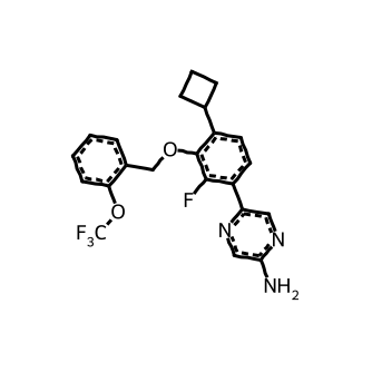 Nc1cnc(-c2ccc(C3CCC3)c(OCc3ccccc3OC(F)(F)F)c2F)cn1